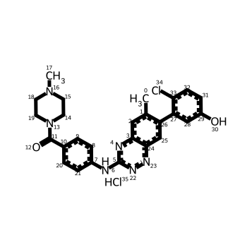 Cc1cc2nc(Nc3ccc(C(=O)N4CCN(C)CC4)cc3)nnc2cc1-c1cc(O)ccc1Cl.Cl